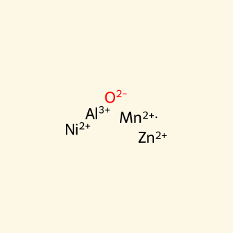 [Al+3].[Mn+2].[Ni+2].[O-2].[Zn+2]